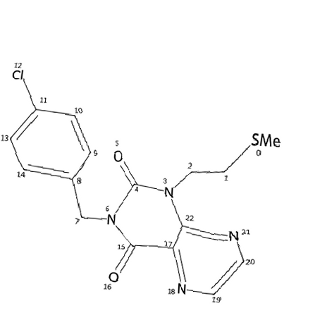 CSCCn1c(=O)n(Cc2ccc(Cl)cc2)c(=O)c2nccnc21